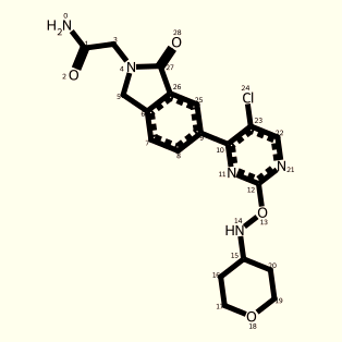 NC(=O)CN1Cc2ccc(-c3nc(ONC4CCOCC4)ncc3Cl)cc2C1=O